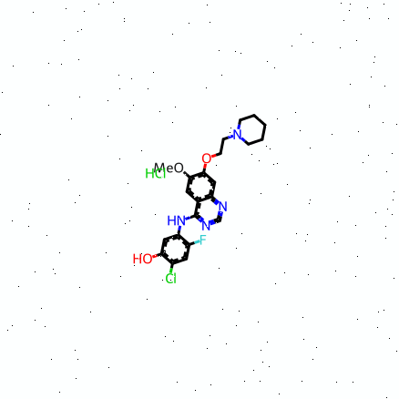 COc1cc2c(Nc3cc(O)c(Cl)cc3F)ncnc2cc1OCCN1CCCCC1.Cl